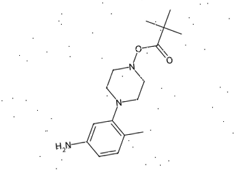 Cc1ccc(N)cc1N1CCN(OC(=O)C(C)(C)C)CC1